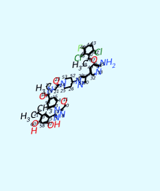 CC(C)c1cc(-c2nnc(C=O)n2-c2ccc(C(=O)N(C)CC(=O)N3CCC(n4cc(-c5cnc(N)c(O[C@H](C)c6c(Cl)ccc(F)c6Cl)c5)cn4)CC3)cc2)c(O)cc1O